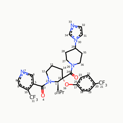 CCC[C@H]1N(C(=O)c2cnccc2C(F)(F)F)CCC[C@@]1(Oc1ccc(C(F)(F)F)cc1)C(=O)N1CCC(n2ccnc2)CC1